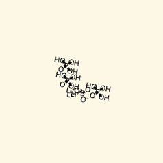 O=P(O)(O)O.O=P(O)(O)O.O=P(O)(O)O.[Li+].[Li+].[Li+].[O-]B([O-])[O-]